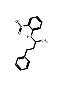 CC(CCc1ccccc1)Nc1ccccc1[N+](=O)[O-]